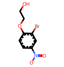 O=[N+]([O-])c1ccc(OCCO)c(Br)c1